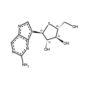 Nc1ncc2ncn([C@H]3S[C@H](CO)[C@@H](O)[C@@H]3O)c2n1